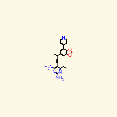 CCc1nc(N)nc(N)c1C#CC(C)c1cc2c(c(-c3ccncc3)c1)OCO2